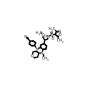 CCN(c1ccc(C(CNS(=O)(=O)c2c(C)noc2C)COC)cc1Nc1ccc(C#N)cc1)C1CCOCC1